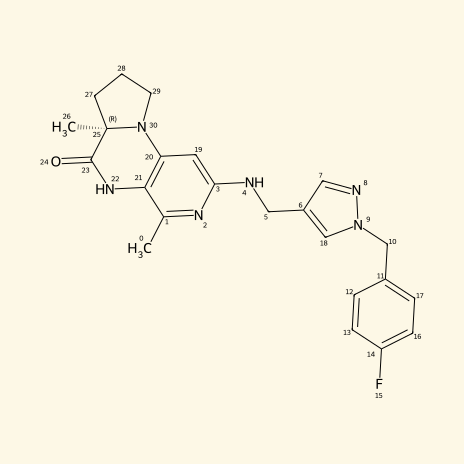 Cc1nc(NCc2cnn(Cc3ccc(F)cc3)c2)cc2c1NC(=O)[C@@]1(C)CCCN21